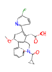 CCN(Cc1c(CC(=O)O)c(-c2ccc(F)cn2)cc(OC)c1-c1ccccc1)C(=O)C1CC1